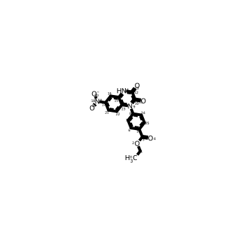 CCOC(=O)c1ccc(-n2c(=O)c(=O)[nH]c3cc([N+](=O)[O-])ccc32)cc1